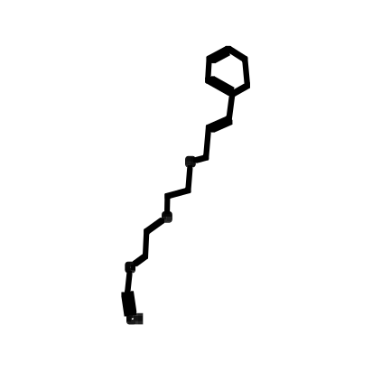 C#COCCOCCOC/C=C/C1=CC=CCC1